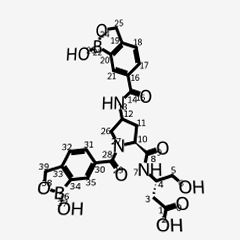 O=C(O)C[C@@H](CO)NC(=O)[C@@H]1CC(NC(=O)c2ccc3c(c2)B(O)OC3)CN1C(=O)c1ccc2c(c1)B(O)OC2